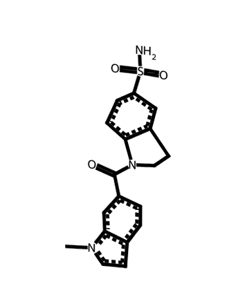 Cn1ccc2ccc(C(=O)N3CCc4cc(S(N)(=O)=O)ccc43)cc21